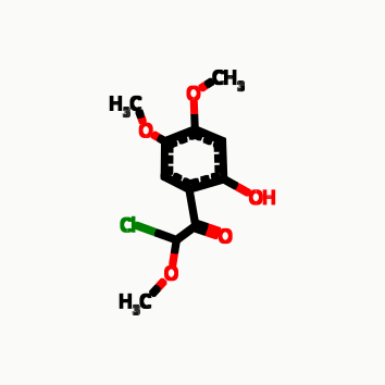 COc1cc(O)c(C(=O)C(Cl)OC)cc1OC